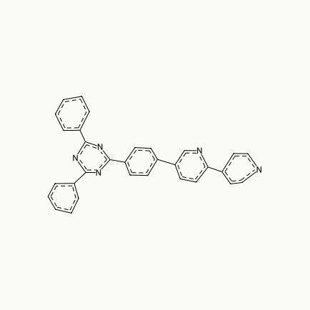 c1ccc(-c2nc(-c3ccccc3)nc(-c3ccc(-c4ccc(-c5ccncc5)nc4)cc3)n2)cc1